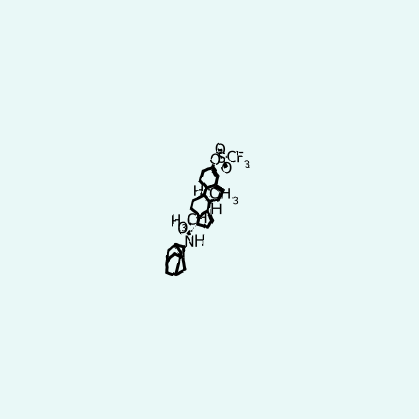 C[C@]12CC[C@H]3[C@@H](CC=C4C=C(OS(=O)(=O)C(F)(F)F)CC[C@@]43C)[C@@H]1CC[C@@H]2C(=O)NC1C2CC3CC(C2)CC1C3